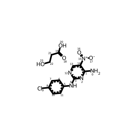 Nc1nc(Nc2ccc(Cl)cc2)ncc1[N+](=O)[O-].O=C(O)CCO